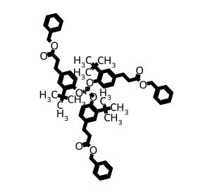 CC(C)(C)c1cc(CCC(=O)OCc2ccccc2)ccc1OP(Oc1ccc(CCC(=O)OCc2ccccc2)cc1C(C)(C)C)Oc1ccc(CCC(=O)OCc2ccccc2)cc1C(C)(C)C